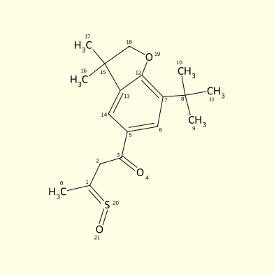 CC(CC(=O)c1cc(C(C)(C)C)c2c(c1)C(C)(C)CO2)=S=O